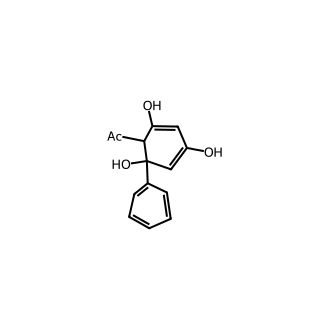 CC(=O)C1C(O)=CC(O)=CC1(O)c1ccccc1